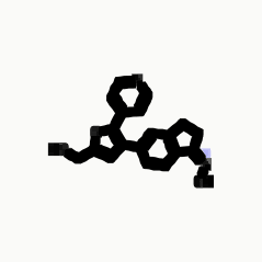 OCc1cc(-c2ccc3c(c2)CC/C3=N/O)c(-c2ccncc2)o1